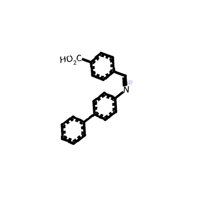 O=C(O)c1ccc(/C=N\c2ccc(-c3ccccc3)cc2)cc1